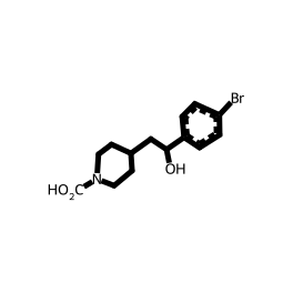 O=C(O)N1CCC(CC(O)c2ccc(Br)cc2)CC1